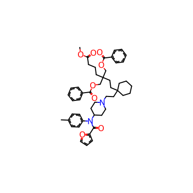 COC(=O)CCCC(CCC1(CCN2CCC(N(C(=O)c3ccco3)c3ccc(C)cc3)CC2)CCCCC1)(COC(=O)c1ccccc1)COC(=O)c1ccccc1